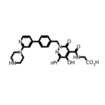 CCCc1nn(Cc2ccc(-c3ccnc(N4CCNCC4)c3)cc2)c(=O)c(C(=O)NCC(=O)O)c1O